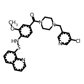 COc1cc(C(=O)N2CCN(Cc3cncc(Cl)c3)CC2)ccc1NSc1cccc2cccnc12